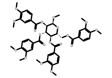 COc1ccc(C(=O)OC[C@H]2O[C@H](OC)[C@H](OC(=O)c3ccc(OC)c(OC)c3)[C@@H](OC(=O)c3ccc(OC)c(OC)c3)[C@@H]2OC(=O)c2ccc(OC)c(OC)c2)cc1OC